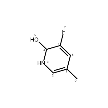 CC1=CNC(O)C(F)=C1